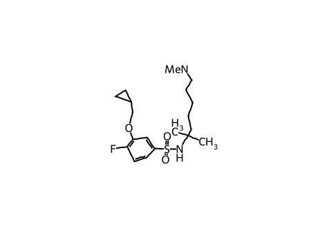 CNCCCCCC(C)(C)NS(=O)(=O)c1ccc(F)c(OCC2CC2)c1